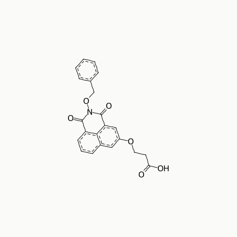 O=C(O)CCOc1cc2c3c(cccc3c1)C(=O)N(OCc1ccccc1)C2=O